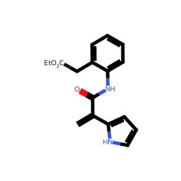 C=C(C(=O)Nc1ccccc1CC(=O)OCC)c1ccc[nH]1